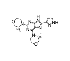 C[C@@H]1COCCN1c1nc(N2CCOC[C@@H]2C)nc2[nH]c(-c3cc[nH]n3)nc12